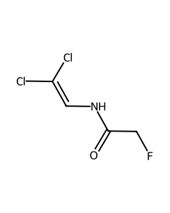 O=C(CF)NC=C(Cl)Cl